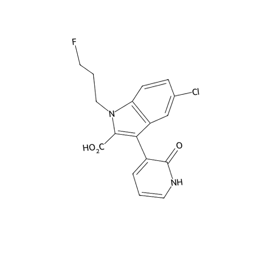 O=C(O)c1c(-c2ccc[nH]c2=O)c2cc(Cl)ccc2n1CCCF